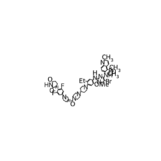 CCc1cc(Nc2ncc(Br)c(Nc3ccc4nc(C)ccc4c3P(C)(C)=O)n2)c(OC)cc1N1CCC(N2CCN(C(=O)[C@@H]3CCN(c4cc(F)c([C@H]5CCC(=O)NC5=O)c(F)c4)C3)CC2)CC1